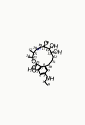 CCNc1cc(O)c2c(c1)CCCC(O)C(O)C(=O)/C=C\C(C)C(C)OC2=O